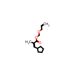 C=CCOCOC(=O)C(C)=CC1CCCC1